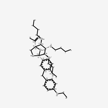 CCCCO[C@@H]1[C@@H](OCCCC)[C@@]2(c3ccc(Cl)c(Cc4ccc(OCC)cc4)c3)OC[C@](C(C)=O)(O2)[C@H]1OCCCC